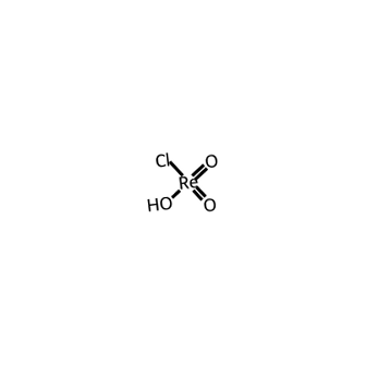 [O]=[Re](=[O])([OH])[Cl]